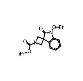 CCON1C(=O)C2(CN(C(=O)OC(C)C)C2)c2ccccc21